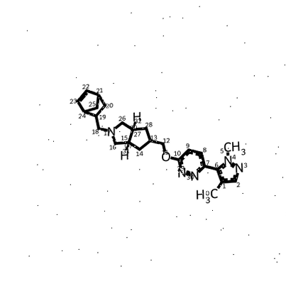 Cc1cnn(C)c1-c1ccc(OCC2C[C@@H]3CN(CC4CC5C=CC4C5)C[C@@H]3C2)nn1